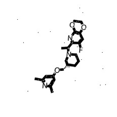 Cc1cc(OC[C@H]2CCCN(C(C)c3nc4c(cc3F)OCCO4)C2)cc(C)n1